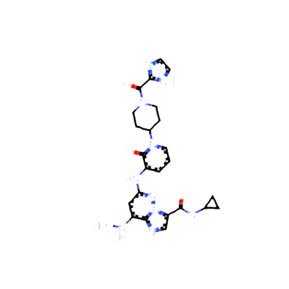 CNc1cc(Nc2cccn(C3CCN(C(=O)c4ncc[nH]4)CC3)c2=O)nn2c(C(=O)NC3CC3)cnc12